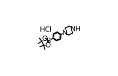 CC1(C)OB(c2ccc(N3CCNCC3)cc2)OC1(C)C.Cl